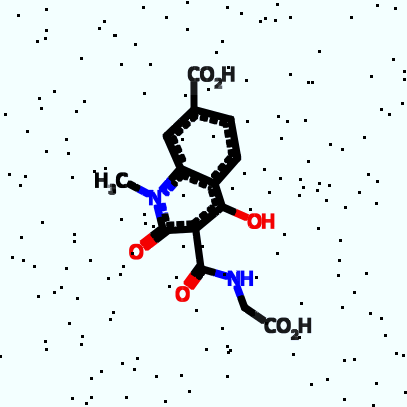 Cn1c(=O)c(C(=O)NCC(=O)O)c(O)c2ccc(C(=O)O)cc21